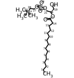 CCCCCCCCCCCCCCCC(=O)O[C@H](CO)COP(=O)([O-])OCC[N+](C)(C)C